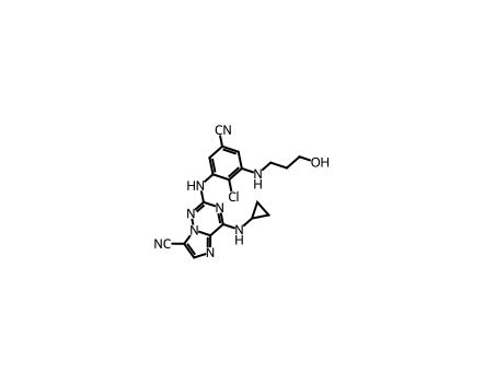 N#Cc1cc(NCCCO)c(Cl)c(Nc2nc(NC3CC3)c3ncc(C#N)n3n2)c1